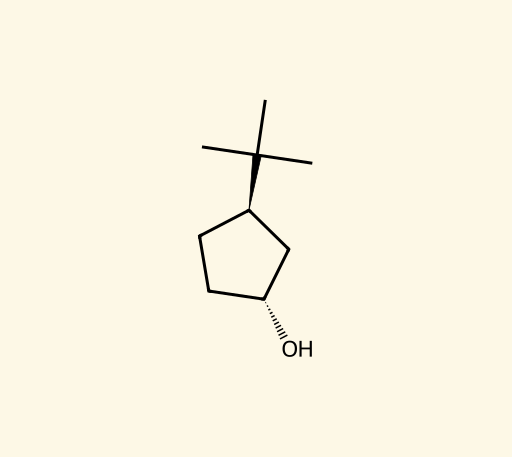 CC(C)(C)[C@@H]1CC[C@@H](O)C1